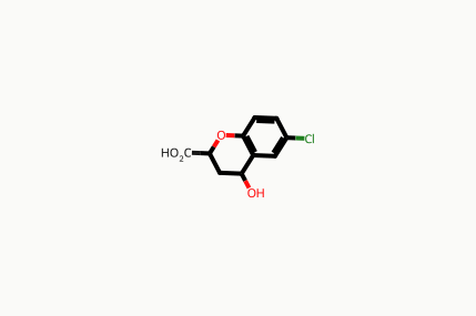 O=C(O)C1CC(O)c2cc(Cl)ccc2O1